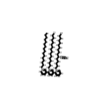 CCCCCCCCCCCCCCCC[n+]1ccccc1.CCCCCCCCCCCCCCCC[n+]1ccccc1.CCCCCCCCCCCCCCCC[n+]1ccccc1.[Br-].[Br-].[Br-]